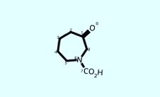 O=C1CCCCN(C(=O)O)C1